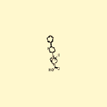 O=C(O)N1C[C@@H]2CC1CN2c1ccc(-c2ccccc2)nc1